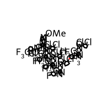 CC1CN(C(=O)c2cccc(C(F)(F)F)c2Cl)Cc2nnn(-c3ccc(F)cc3)c21.CC1CN(C(=O)c2cccc(C(F)(F)F)c2Cl)Cc2nnn(-c3ccccc3)c21.CC1CN(C(=O)c2cccc(Cl)c2Cl)Cc2nnn(-c3ccc(F)cc3)c21.CC1CN(C(=O)c2cccc(Cl)c2Cl)Cc2nnn(-c3ccccc3)c21.COCCn1ccc(-n2nnc3c2CCN(C(=O)c2cccc(C(F)(F)F)c2Cl)[C@@H]3C)n1